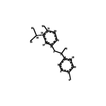 Cc1ccc(C(C)Cc2ccc(C)c(C(C)C)n2)nc1